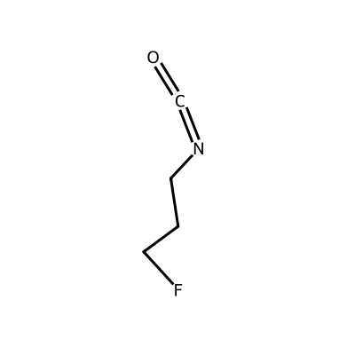 O=C=NCCCF